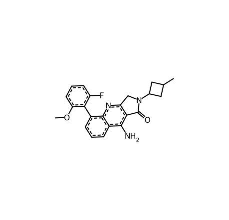 COc1cccc(F)c1-c1cccc2c(N)c3c(nc12)CN(C1CC(C)C1)C3=O